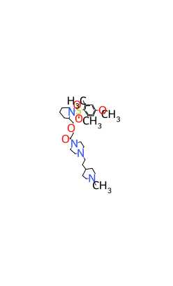 COc1cc(C)c(S(=O)(=O)N2CCCCC2COCC(=O)N2CCN(CCC3CCN(C)CC3)CC2)c(C)c1